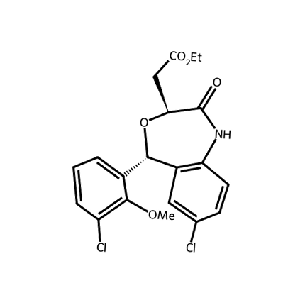 CCOC(=O)C[C@@H]1O[C@@H](c2cccc(Cl)c2OC)c2cc(Cl)ccc2NC1=O